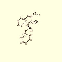 COc1cc2ccccc2c(N(C)Cc2ccccc2)c1Br